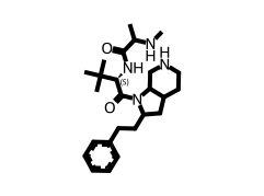 CNC(C)C(=O)N[C@H](C(=O)N1C(CCc2ccccc2)CC2CCNCC21)C(C)(C)C